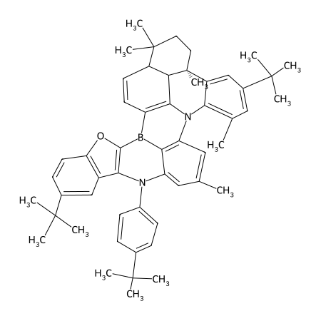 Cc1cc2c3c(c1)N(c1ccc(C(C)(C)C)cc1)c1c(oc4ccc(C(C)(C)C)cc14)B3C1=C3C4C(C=C1)C(C)(C)CC[C@@]4(C)c1cc(C(C)(C)C)cc(C)c1N32